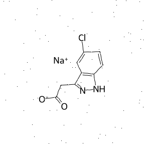 O=C([O-])Cc1n[nH]c2ccc(Cl)cc12.[Na+]